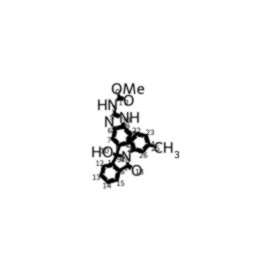 COC(=O)Nc1nc2cc(C3(O)c4ccccc4C(=O)N3c3cccc(C)c3)ccc2[nH]1